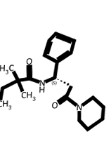 CCC(C)(C)C(=O)N[C@@H](CC(=O)N1CCCCC1)c1ccccc1